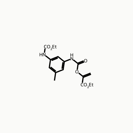 C=C(OC(=O)Nc1cc(C)cc(NC(=O)OCC)c1)C(=O)OCC